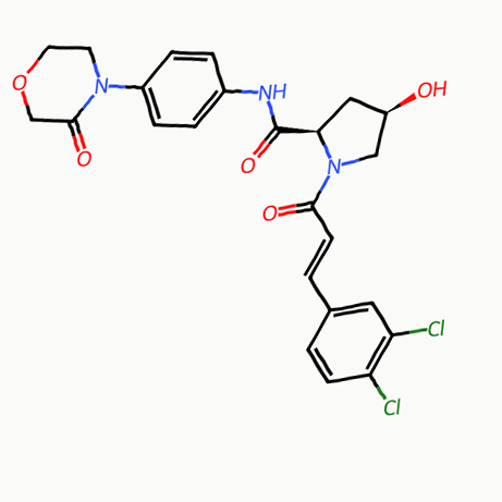 O=C(Nc1ccc(N2CCOCC2=O)cc1)[C@H]1C[C@@H](O)CN1C(=O)/C=C/c1ccc(Cl)c(Cl)c1